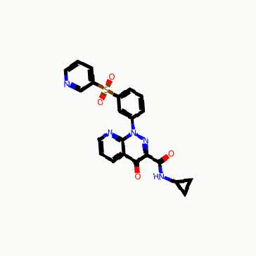 O=C(NC1CC1)c1nn(-c2cccc(S(=O)(=O)c3cccnc3)c2)c2ncccc2c1=O